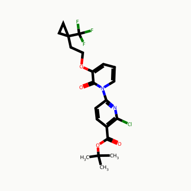 CC(C)(C)OC(=O)c1ccc(-n2cccc(OCCC3(C(F)(F)F)CC3)c2=O)nc1Cl